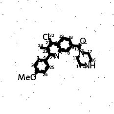 COc1ccc(-c2nc3cc(C(=O)N4CCNCC4)ccc3c(Cl)c2C)cc1